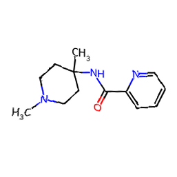 CN1CCC(C)(NC(=O)c2ccccn2)CC1